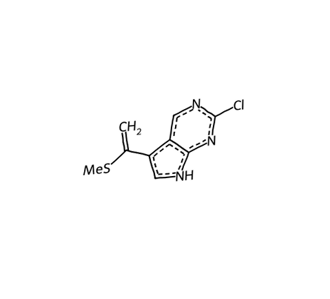 C=C(SC)c1c[nH]c2nc(Cl)ncc12